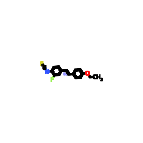 CCOc1ccc(/C=C/c2ccc(N=C=S)c(F)c2)cc1